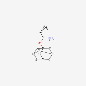 C=CC(N)OC12CC3CC(CC(C3)C1)C2